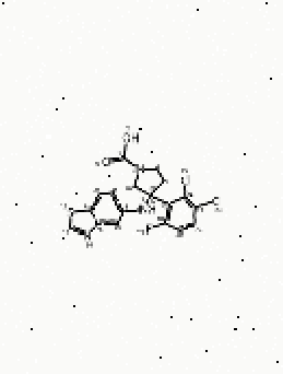 O=C(O)N1CC[C@](Nc2ccc3scnc3c2)(c2c(F)ccc(Cl)c2Cl)C1